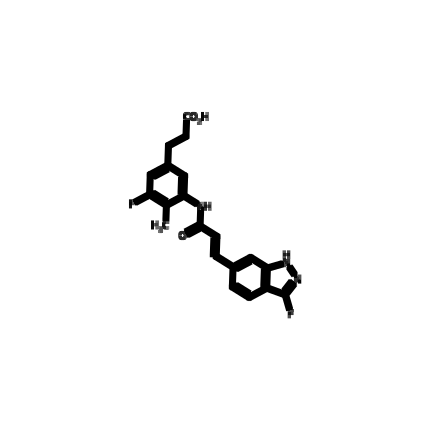 Cc1c(F)cc(CCC(=O)O)cc1NC(=O)C=Cc1ccc2c(F)n[nH]c2c1